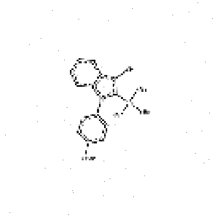 CCC[CH2][Sn]([CH2]CCC)([CH2]CCC)[c]1c(C#N)c2ccccc2n1-c1ccc(OC)cc1